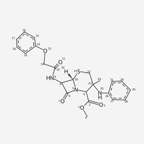 COC(=O)C1N2C(=O)C(NC(=O)COc3ccccc3)[C@@H]2SCC1(C)Nc1ccccc1